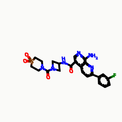 Nc1ncc(C(=O)NC2CN(C(=O)N3CCS(=O)(=O)CC3)C2)c2ccc(-c3cccc(F)c3)nc12